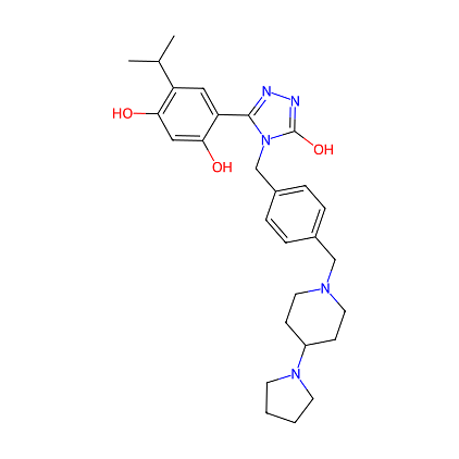 CC(C)c1cc(-c2nnc(O)n2Cc2ccc(CN3CCC(N4CCCC4)CC3)cc2)c(O)cc1O